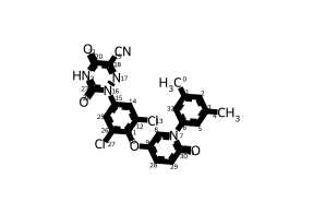 Cc1cc(C)cc(-n2cc(Oc3c(Cl)cc(-n4nc(C#N)c(=O)[nH]c4=O)cc3Cl)ccc2=O)c1